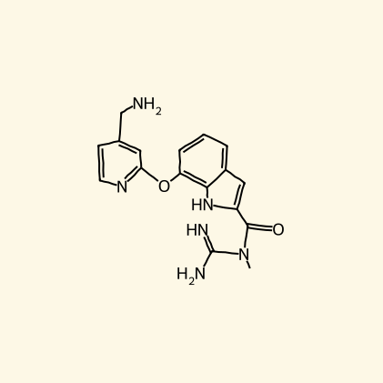 CN(C(=N)N)C(=O)c1cc2cccc(Oc3cc(CN)ccn3)c2[nH]1